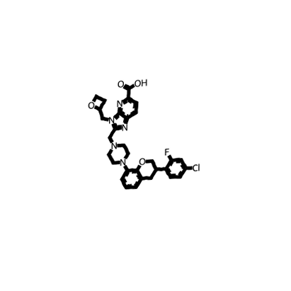 O=C(O)c1ccc2nc(CN3CCN(c4cccc5c4OCC(c4ccc(Cl)cc4F)C5)CC3)n(CC3CCO3)c2n1